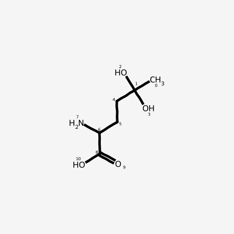 CC(O)(O)CCC(N)C(=O)O